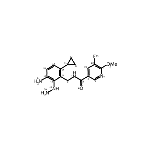 COc1ncc(C(=O)NCc2c(C3CC3)ccc(N)c2NN)cc1F